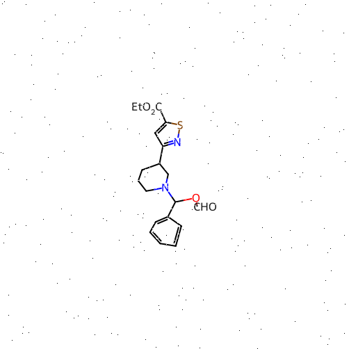 CCOC(=O)c1cc(C2CCCN(C(OC=O)c3ccccc3)C2)ns1